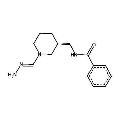 NN=CN1CCC[C@@H](CNC(=O)c2ccccc2)C1